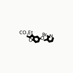 CCOC(=O)c1c(C)oc2ccc(OCc3cccnc3Br)cc12